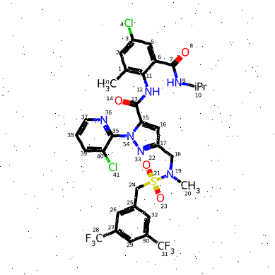 Cc1cc(Cl)cc(C(=O)NC(C)C)c1NC(=O)c1cc(CN(C)S(=O)(=O)Cc2cc(C(F)(F)F)cc(C(F)(F)F)c2)nn1-c1ncccc1Cl